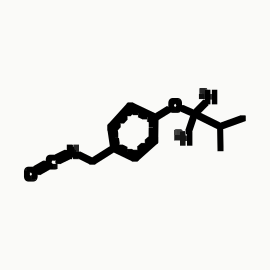 [2H]C([2H])(Oc1ccc(CN=C=O)cc1)C(C)C